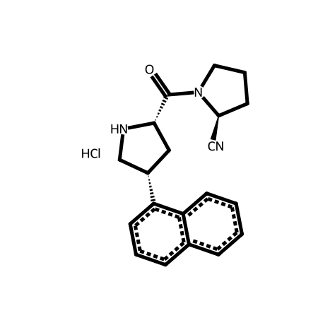 Cl.N#C[C@@H]1CCCN1C(=O)[C@@H]1C[C@H](c2cccc3ccccc23)CN1